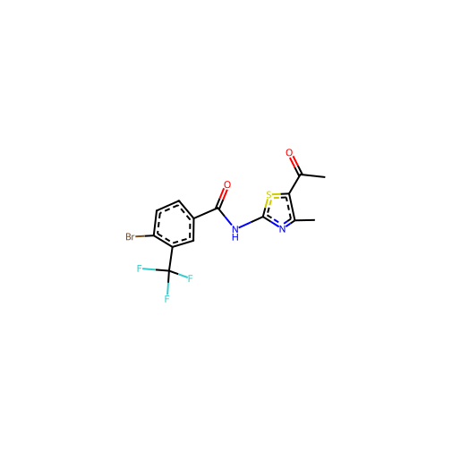 CC(=O)c1sc(NC(=O)c2ccc(Br)c(C(F)(F)F)c2)nc1C